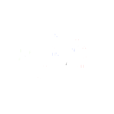 COc1ccc(C(F)(F)F)cc1OCCN[C@@H]1C(c2cccnc2OC(C)C)N(C(=O)OC(C)C)[C@H](C(=O)O)[C@H]1C(C)(C)C